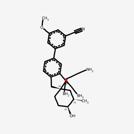 BC1(B)OC(N)=NC12c1cc(-c3cc(C#N)cc(OC)c3)ccc1C[C@@]21CC[C@H](O)[C@@H](C)C1